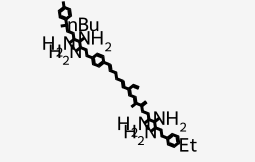 C=CC(/C=C/CC/C=C/c1ccc(CCC(N)C(N)C(N)CCC(C)(CCCC)c2ccc(C)cc2)cc1)=C\C=C(/C)C(=C)CCC(N)C(N)C(N)CCc1ccc(CC)cc1